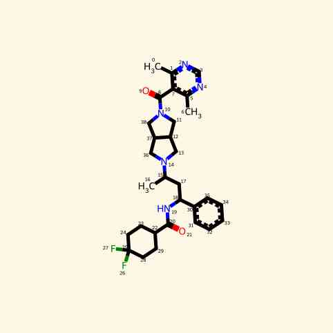 Cc1ncnc(C)c1C(=O)N1CC2CN(C(C)CC(NC(=O)C3CCC(F)(F)CC3)c3ccccc3)CC2C1